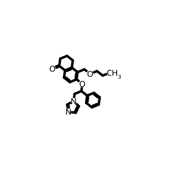 CCCOCc1c(OC(Cn2ccnc2)c2ccccc2)ccc2c1CCCC2=O